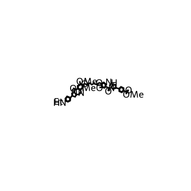 CCNc1ccc(C2=CN3C(=O)c4cc(OC)c(OCCCCCOc5cc6c(cc5OC)C(=O)N5C=C(c7ccc(C(=O)OC)cc7)C[C@H]5C=N6)cc4N=CC3C2)cc1